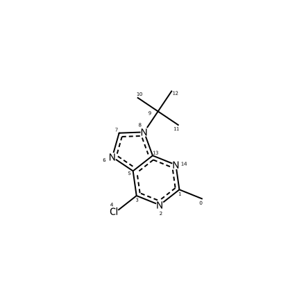 Cc1nc(Cl)c2ncn(C(C)(C)C)c2n1